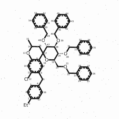 CCc1ccc(Cc2cc3c(cc2Cl)OC(C)CC32O[C@H](COCc3ccccc3)[C@@H](OCc3ccccc3)[C@H](OCc3ccccc3)[C@H]2OCc2ccccc2)cc1